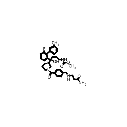 COC(=O)NCCC[C@@](O)(c1cccc(F)c1-c1cccc(C)c1)[C@@H]1CCCN(C(=O)c2ccc(CNCCC(N)=O)cc2)C1